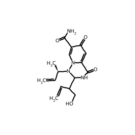 C=CC(CO)C1NC(=O)c2cc(=O)c(C(N)=O)cn2N1[C@H](C)C=C